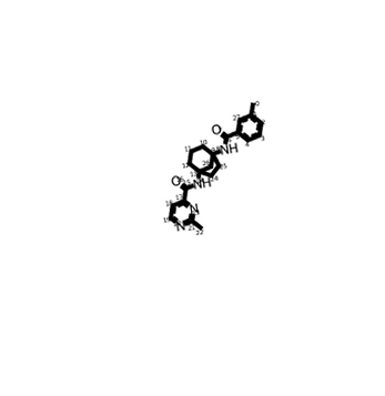 Cc1cccc(C(=O)NC23CCCC(NC(=O)c4ccnc(C)n4)(CC2)C3)c1